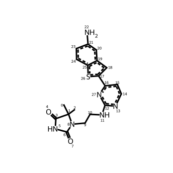 CC1(C)C(=O)NC(=O)N1CCNc1nccc(-c2cc3cc(N)ccc3s2)n1